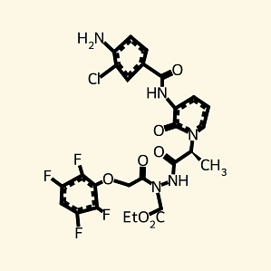 CCOC(=O)CN(NC(=O)[C@H](C)n1cccc(NC(=O)c2ccc(N)c(Cl)c2)c1=O)C(=O)COc1c(F)c(F)cc(F)c1F